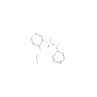 CCOc1ccccc1S(=O)(=O)Nc1ccccc1